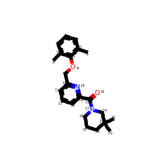 Cc1cccc(C)c1OCc1cccc(C(=O)N2CCCC(C)(C)C2)n1